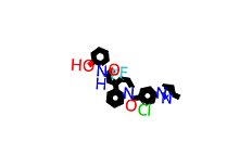 Cc1ccn(-c2ccc(C(=O)N3CCC(F)(F)C(=CC(=O)NC4CCCCC4O)c4ccccc43)c(Cl)c2)n1